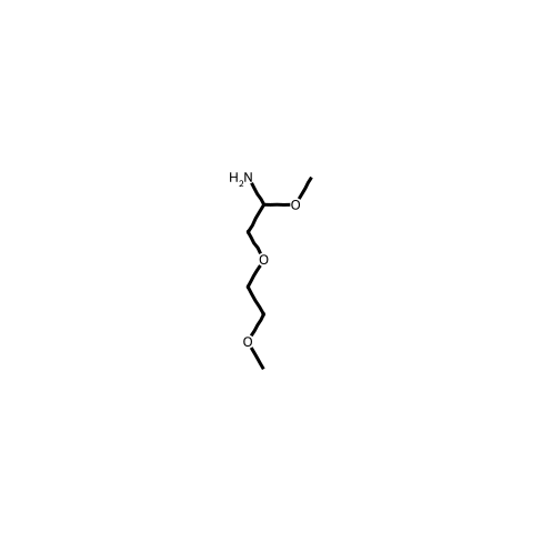 COCCOCC(N)OC